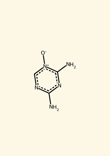 Nc1nc[n+]([O-])c(N)n1